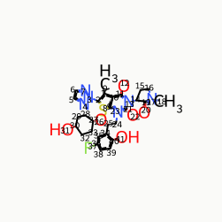 Cc1c(-n2nccn2)sc2c1c(=O)n([C@H]1CCN(C)C1=O)c(=O)n2C[C@H](O[C@H]1CC[C@H](O)CC1)c1cc(F)ccc1O